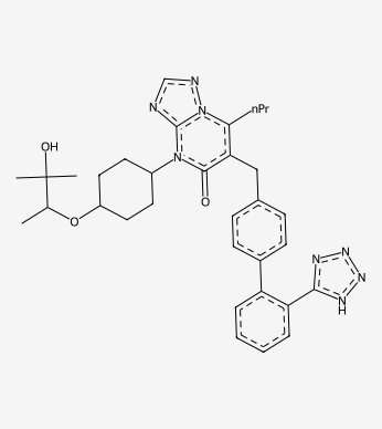 CCCc1c(Cc2ccc(-c3ccccc3-c3nnn[nH]3)cc2)c(=O)n(C2CCC(OC(C)C(C)(C)O)CC2)c2ncnn12